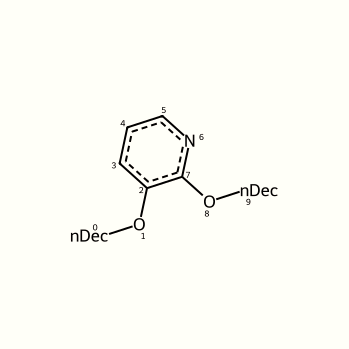 CCCCCCCCCCOc1cccnc1OCCCCCCCCCC